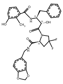 Cc1c(O)cccc1C(=O)N[C@@H](Cc1ccccc1)[C@H](O)C(=O)N1CC(F)(F)C[C@H]1C(=O)NCc1ccc2c(c1)OCO2